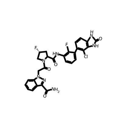 NC(=O)c1nn(CC(=O)N2C[C@H](F)CC2C(=O)Nc2cccc(-c3ccc4[nH]c(=O)[nH]c4c3Cl)c2F)c2ccccc12